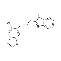 Clc1cc2c(cc1CCCc1nc3ccccc3[nH]1)OCO2